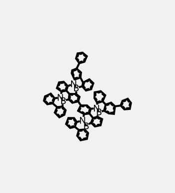 c1ccc(-c2ccc3c(c2)-c2ccccc2N2B3c3cccc4c3-c3c(cc(-c5cc6c7c(c5)B5c8ccccc8-c8cc(-c9ccccc9)ccc8N5c5cccc(c5-7)N5B6c6ccccc6-c6ccccc65)cc32)N2B4c3ccccc3-c3ccccc32)cc1